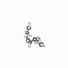 CN1CCC(Nc2ncnc3ccc(-c4c[nH]c5ncc(C(=O)Nc6cnn(C7CCNCC7)c6)cc45)cc23)CC1